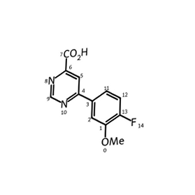 COc1cc(-c2cc(C(=O)O)ncn2)ccc1F